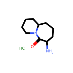 Cl.NC1CCCC2CCCCN2C1=O